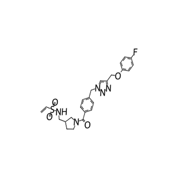 C=CS(=O)(=O)NCC1CCN(C(=O)c2ccc(Cn3cc(COc4ccc(F)cc4)nn3)cc2)C1